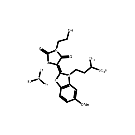 CCN(CC)CC.COc1ccc2c(c1)N(CCC(C)S(=O)(=O)O)C(=C1SC(=S)N(CCO)C1=O)S2